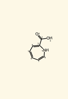 O=C(O)C1=CC=CC=CN1